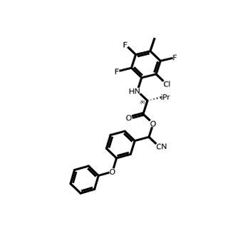 Cc1c(F)c(F)c(N[C@@H](C(=O)OC(C#N)c2cccc(Oc3ccccc3)c2)C(C)C)c(Cl)c1F